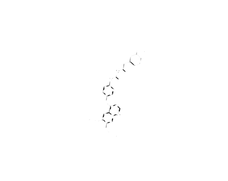 COc1cc2nccc(Oc3ccc(NC(=O)NC(=O)CC4=CCCC(C)C4)cc3)c2cc1OC